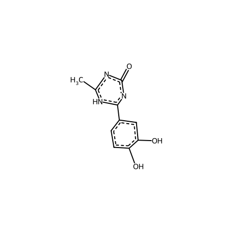 Cc1nc(=O)nc(-c2ccc(O)c(O)c2)[nH]1